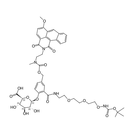 COc1ccc2c3c(c4ccccc4cc13)C(=O)N(CCN(C)C(=O)OCc1ccc(O[C@@H]3O[C@H](C(=O)O)[C@@H](O)[C@H](O)[C@H]3O)c(C(=O)NCCOCCOCCONC(=O)OC(C)(C)C)c1)C2=O